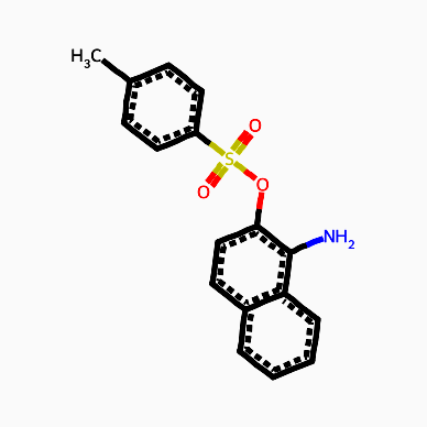 Cc1ccc(S(=O)(=O)Oc2ccc3ccccc3c2N)cc1